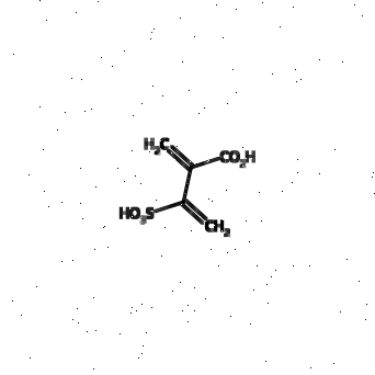 C=C(C(=C)S(=O)(=O)O)C(=O)O